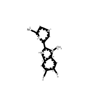 Cn1c(-c2cncc(C#N)c2)nc2cc(F)c(F)cc21